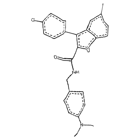 Cc1ccc2oc(C(=O)NCc3ccc(N(C)C)cc3)c(-c3ccc(Cl)cc3)c2c1